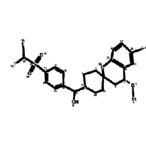 CCO[C@@H]1CC2(CCN(C(O)c3ccc(S(=O)(=O)C(F)F)cc3)CC2)Oc2ccc(F)cc21